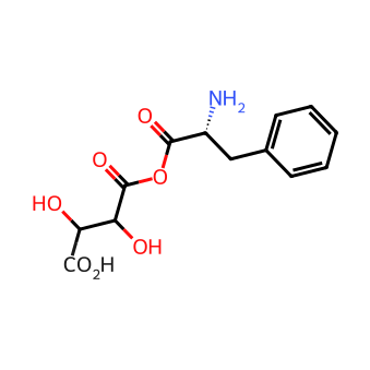 N[C@H](Cc1ccccc1)C(=O)OC(=O)C(O)C(O)C(=O)O